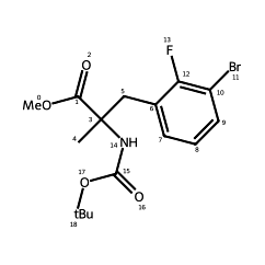 COC(=O)C(C)(Cc1cccc(Br)c1F)NC(=O)OC(C)(C)C